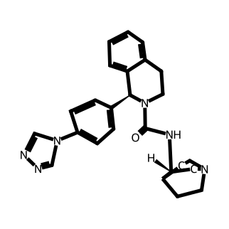 O=C(N[C@@H]1CN2CCC1CC2)N1CCc2ccccc2[C@@H]1c1ccc(-n2cnnc2)cc1